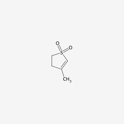 CC1=CS(=O)(=O)CC1